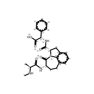 CN[C@@H](C)C(=O)N[C@H]1CCc2cccc3c2N(C1=O)[C@H](C(=O)N[C@H](C(=O)O)c1ccccc1)C3